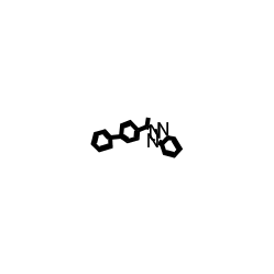 CC(c1ccc(-c2ccccc2)cc1)n1nc2ccccc2n1